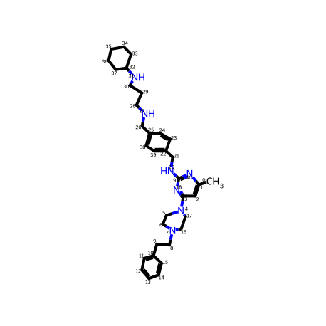 Cc1cc(N2CCN(CCc3ccccc3)CC2)nc(NCc2ccc(CNCCCNC3CCCCC3)cc2)n1